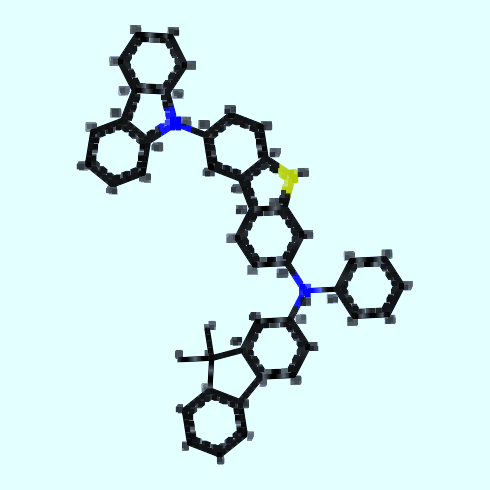 CC1(C)c2ccccc2-c2ccc(N(c3ccccc3)c3ccc4c(c3)sc3ccc(-n5c6ccccc6c6ccccc65)cc34)cc21